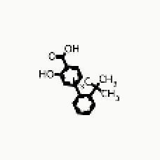 CC(C)(C)c1ccccc1-c1ccc(C(=O)O)c(O)c1